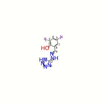 Oc1c(I)cc(I)cc1C=NNc1nnn[nH]1